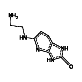 NCCNc1ccc2[nH]c(=O)[nH]c2n1